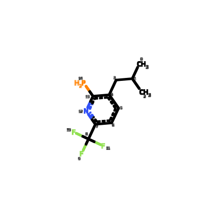 CC(C)Cc1ccc(C(F)(F)F)nc1P